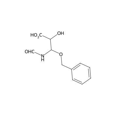 O=CNC(OCc1ccccc1)C(O)C(=O)O